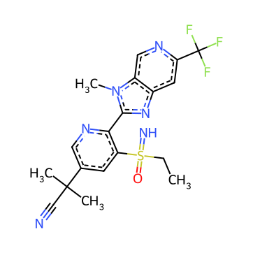 CCS(=N)(=O)c1cc(C(C)(C)C#N)cnc1-c1nc2cc(C(F)(F)F)ncc2n1C